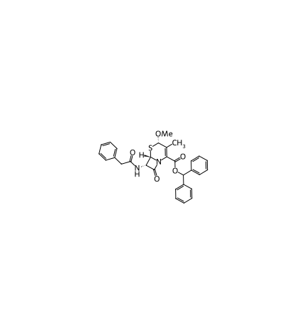 CO[C@H]1S[C@H]2[C@@H](NC(=O)Cc3ccccc3)C(=O)N2C(C(=O)OC(c2ccccc2)c2ccccc2)=C1C